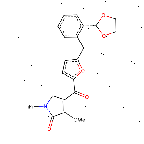 COC1=C(C(=O)c2ccc(Cc3ccccc3C3OCCO3)o2)CN(C(C)C)C1=O